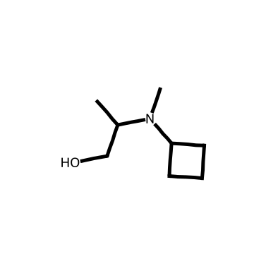 CC(CO)N(C)C1CCC1